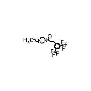 CCCN1CCN(C(=O)CCc2cc(C(F)(F)F)cc(C(F)(F)F)c2)CC1